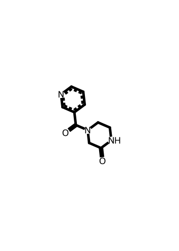 O=C1CN(C(=O)c2cccnc2)CCN1